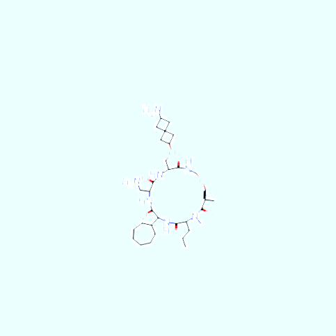 CCCC1C(=O)NC(C2CCCCCC2)C(=O)NC(CN)C(=O)NC(COC2CC3(CC(N)C3)C2)C(=O)NCO/C=C(/C)C(=O)N1C